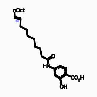 CCCCCCCC/C=C/CCCCCCCC(=O)Nc1ccc(C(=O)O)c(O)c1